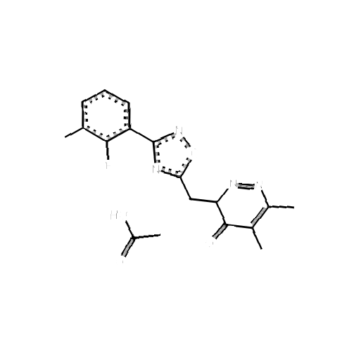 CC(=O)O.CC1=C(C)C(=O)C(Cc2nc(-c3cccc(F)c3F)no2)N=N1